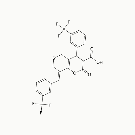 O=C(O)C1C(=O)OC2=C(CSCC2=Cc2cccc(C(F)(F)F)c2)C1c1cccc(C(F)(F)F)c1